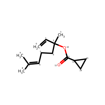 C=CC(C)(CCC=C(C)C)OC(=O)C1CC1